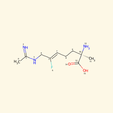 CC(=N)NC/C(F)=C/CC[C@@](C)(N)C(=O)O